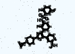 CNc1cc(-c2sc(C3CCN(C4CC4)CC3)nc2-c2cccc(NS(=O)(=O)c3cc(F)ccc3F)c2F)ccn1